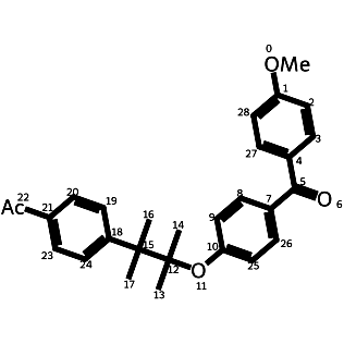 COc1ccc(C(=O)c2ccc(OC(C)(C)C(C)(C)c3ccc(C(C)=O)cc3)cc2)cc1